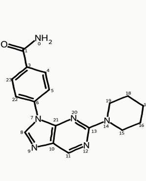 NC(=O)c1ccc(-n2cnc3cnc(N4CCCCC4)nc32)cc1